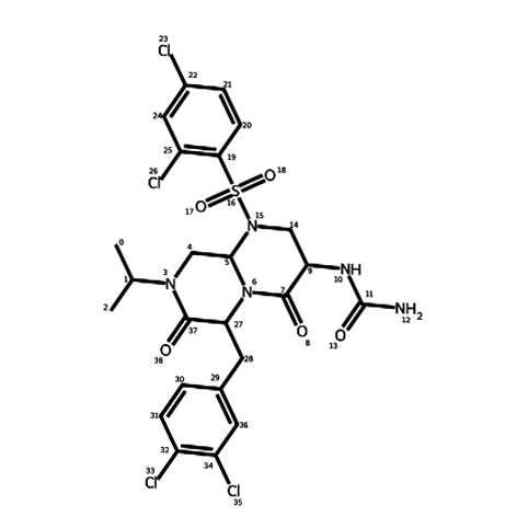 CC(C)N1CC2N(C(=O)C(NC(N)=O)CN2S(=O)(=O)c2ccc(Cl)cc2Cl)C(Cc2ccc(Cl)c(Cl)c2)C1=O